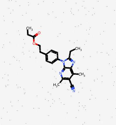 CCC(=O)OCCc1ccc(-n2c(CC)nc3c(C)c(C#N)c(C)nc32)cc1